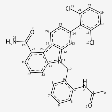 CC(=O)Nc1ccccc1Cn1c2cc(-c3c(Cl)cccc3Cl)c[c]c2c2c(C(N)=O)cccc21